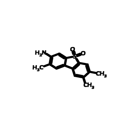 Cc1cc2c(cc1C)S(=O)(=O)c1cc(N)c(C)cc1-2